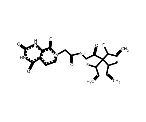 C=CC(F)C(C(=O)CNC(=O)Cn1ccc2c(=O)[nH]c(=O)[nH]c2c1=O)(C(F)C=C)C(F)C=C